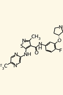 Cc1nsc(Nc2cnc(C(F)(F)F)cn2)c1C(=O)Nc1ccc(F)c(O[C@@H]2CCNC2)c1